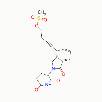 CS(=O)(=O)OCCC#Cc1cccc2c1CN(C1CCC(=O)NC1=O)C2=O